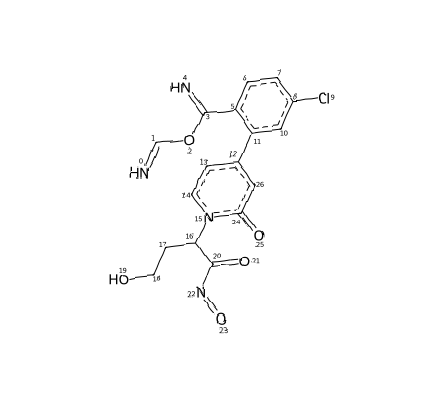 N=COC(=N)c1ccc(Cl)cc1-c1ccn(C(CCO)C(=O)N=O)c(=O)c1